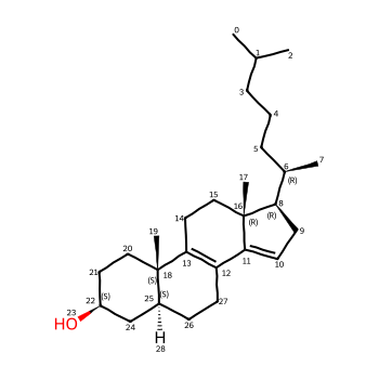 CC(C)CCC[C@@H](C)[C@H]1CC=C2C3=C(CC[C@@]21C)[C@@]1(C)CC[C@H](O)C[C@@H]1CC3